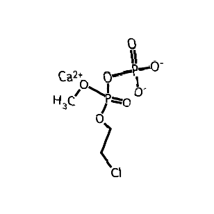 COP(=O)(OCCCl)OP(=O)([O-])[O-].[Ca+2]